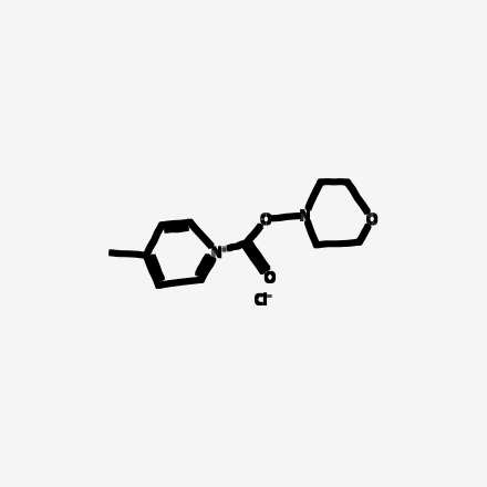 Cc1cc[n+](C(=O)ON2CCOCC2)cc1.[Cl-]